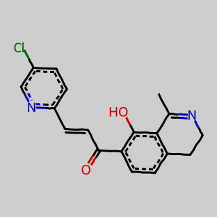 CC1=NCCc2ccc(C(=O)/C=C/c3ccc(Cl)cn3)c(O)c21